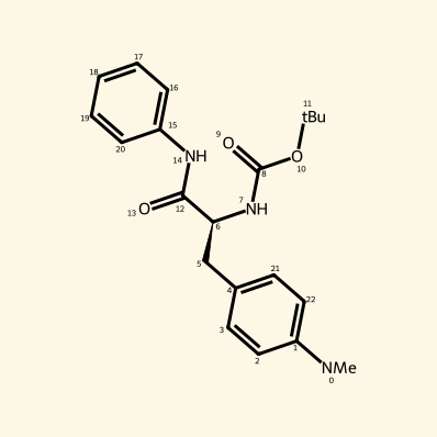 CNc1ccc(C[C@H](NC(=O)OC(C)(C)C)C(=O)Nc2ccccc2)cc1